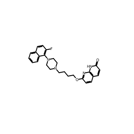 O=c1ccc2ccc(OCCCCN3CCN(c4c(F)ccc5ccccc45)CC3)nc2[nH]1